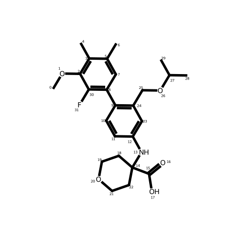 COc1c(C)c(C)cc(-c2ccc(NC3(C(=O)O)CCOCC3)cc2COC(C)C)c1F